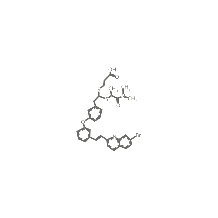 CC(SC(Cc1cccc(Oc2cccc(/C=C/c3ccc4ccc(Br)cc4n3)c2)c1)SCCC(=O)O)C(=O)N(C)C